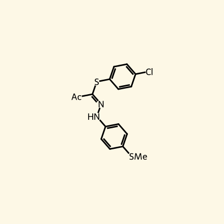 CSc1ccc(N/N=C(/Sc2ccc(Cl)cc2)C(C)=O)cc1